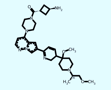 COC[C@@H](C)N1CCC(OC)(C2C=CC(c3cc4c(N5CCN(C(=O)[C@H]6C[C@H](N)C6)CC5)ccnn4c3)=NC2)CC1